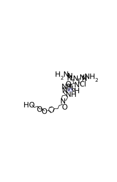 NN=NC1=NC(N=NN)=C(Cl)NC1C(=O)/N=C1/NC2(CCN(C(=O)CCc3ccc(OCOCCO)cc3)CC2)CN1N